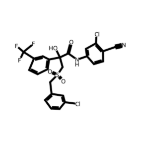 N#Cc1ccc(NC(=O)C(O)(CS(=O)(=O)Cc2cccc(Cl)c2)c2cccc(C(F)(F)F)c2)cc1Cl